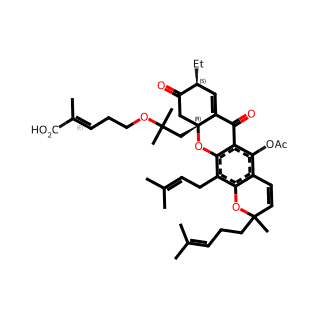 CC[C@H]1C=C2C(=O)c3c(OC(C)=O)c4c(c(CC=C(C)C)c3O[C@]2(CC(C)(C)OCC/C=C(\C)C(=O)O)CC1=O)OC(C)(CCC=C(C)C)C=C4